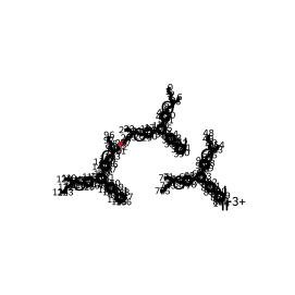 CCCCC(CC)COc1ccc(-c2cc(-c3ccc(OCC(CC)CCCC)cc3)cc(-c3ccc(-c4ccccn4)cc3)c2)cc1.CCCCC(CC)COc1ccc(-c2cc(-c3ccc(OCC(CC)CCCC)cc3)cc(-c3ccc(-c4ccccn4)cc3)c2)cc1.CCCCC(CC)COc1ccc(-c2cc(-c3ccc(OCC(CC)CCCC)cc3)cc(-c3ccc(-c4ccccn4)cc3)c2)cc1.[Ir+3]